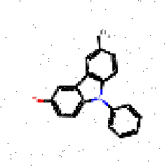 Cc1ccc2c(c1)c1cc(O)ccc1n2-c1ccccc1